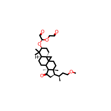 COCC[C@@H](C)[C@H]1CC(=O)[C@@]2(C)C3CC[C@H]4C(C)(C)[C@@H](O[C@@H](C=O)OCC=O)CC[C@@]45CC35CC[C@]12C